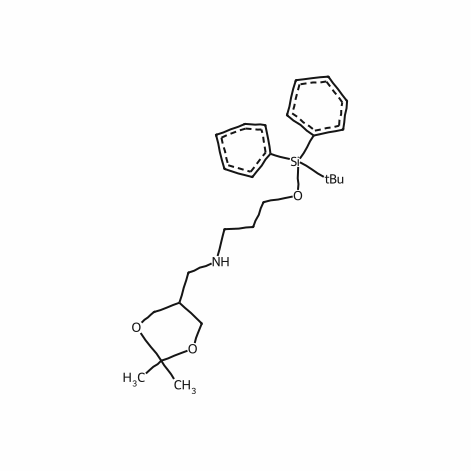 CC1(C)OCC(CNCCCO[Si](c2ccccc2)(c2ccccc2)C(C)(C)C)CO1